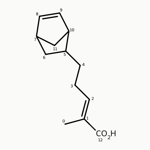 CC(=CCCC1CC2C=CC1C2)C(=O)O